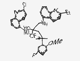 CCc1ccc2c(NCC(O)(CC(C)(C)c3cc(F)ccc3OC)C(F)(F)F)cccc2n1.O=[N+]([O-])c1cccc2nc(Cl)ccc12